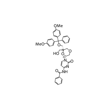 COc1ccc(C(OC[C@]2(CO)COC[C@H](n3ccc(NC(=O)c4ccccc4)nc3=O)O2)(c2ccccc2)c2ccc(OC)cc2)cc1